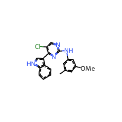 COc1cc(C)cc(Nc2ncc(Cl)c(-c3c[nH]c4ccccc34)n2)c1